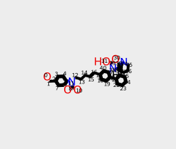 O=Cc1ccc2c(c1)oc(=O)n2CCCC=Cc1ccc(-c2ccccc2)c(N(C(=O)O)[C@H]2CN3CCC2CC3)c1